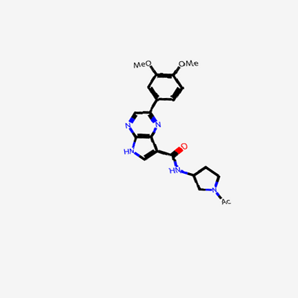 COc1ccc(-c2cnc3[nH]cc(C(=O)NC4CCN(C(C)=O)C4)c3n2)cc1OC